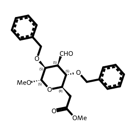 COC(=O)C[C@H]1O[C@H](OC)[C@@H](OCc2ccccc2)[C@@H](C=O)[C@@H]1OCc1ccccc1